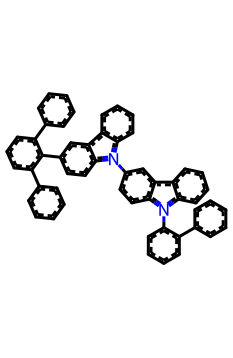 c1ccc(-c2ccccc2-n2c3ccccc3c3cc(-n4c5ccccc5c5cc(-c6c(-c7ccccc7)cccc6-c6ccccc6)ccc54)ccc32)cc1